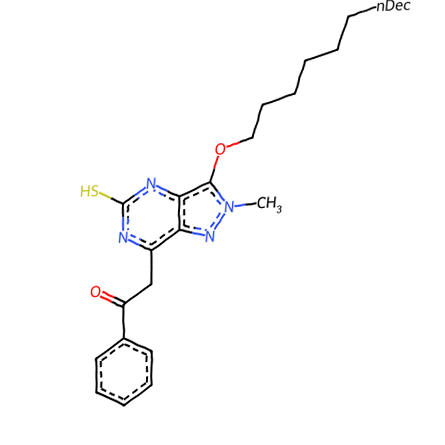 CCCCCCCCCCCCCCCCOc1c2nc(S)nc(CC(=O)c3ccccc3)c2nn1C